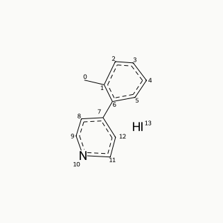 Cc1ccccc1-c1ccncc1.I